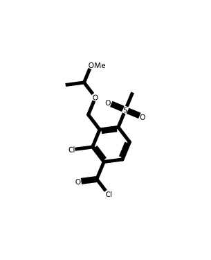 COC(C)OCc1c(S(C)(=O)=O)ccc(C(=O)Cl)c1Cl